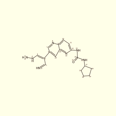 N=C/C(=C\NN)c1cnc2ccc(NC(=O)NC3CCCC3)nc2c1